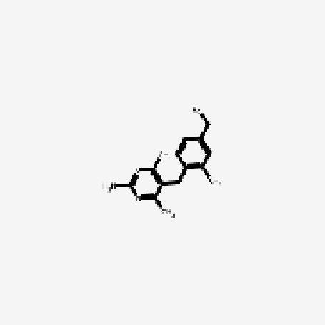 CC(=O)Cc1ccc(Cc2c(C)nc(N)nc2C)c(C)c1